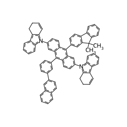 CC1(C)c2ccccc2-c2ccc(-c3c4ccc(-n5c6c(c7ccccc75)CCC=C6)cc4c(-c4cccc(-c5ccc6ccccc6c5)c4)c4ccc(-n5c6c(c7ccccc75)C=CCC6)cc34)cc21